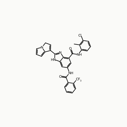 Cc1c(Cl)cccc1NC(=O)c1cc(NC(=O)c2ccccc2C(F)(F)F)cc2[nH]c(C3=CCn4cccc43)nc12